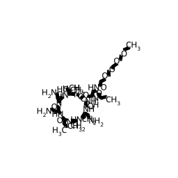 C=C1CNC(=C)C(CCN)NC(=O)[C@@H](NC(=O)C(CCNC(=O)CCOCCOCCOCCOCCC)NC(=O)CCC)CCNC(=C)C(C(C)O)NC(=O)C(CCN)NC(=O)C(CCN)NC(=O)C(CC(C)C)N1